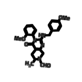 COc1ccc(CNc2nc3c(c(=O)n2-c2ccccc2OC)CC(C)N(C=O)C3)cc1